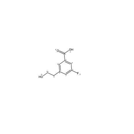 O=C(O)c1cc(F)cc(CCO)c1